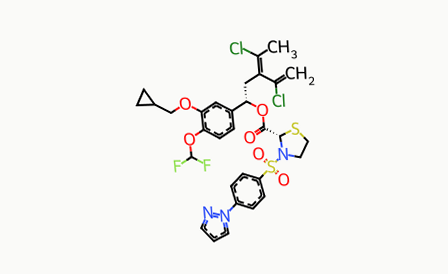 C=C(Cl)/C(C[C@H](OC(=O)[C@@H]1SCCN1S(=O)(=O)c1ccc(-n2cccn2)cc1)c1ccc(OC(F)F)c(OCC2CC2)c1)=C(\C)Cl